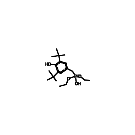 CCO[PH](O)(Cc1cc(C(C)(C)C)c(O)c(C(C)(C)C)c1)OCC